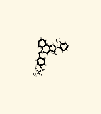 Cc1ccccc1-n1nc2c3ccccc3n(Cc3ccc(NS(C)(=O)=O)cc3)cc-2c1=O